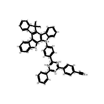 CC1(C)c2ccccc2-c2c1c1c3ccccc3n(-c3ccc(-c4nc(-c5ccccc5)nc(-c5ccc(C#N)cc5)n4)cc3)c1c1sc3ccccc3c21